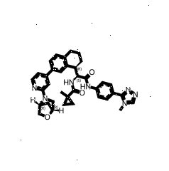 Cn1cnnc1-c1ccc(NC(=O)[C@@H](NC(=O)C2(C)CC2)[C@@H]2CCCc3ccc(-c4ccnc(N5C[C@H]6C[C@@H]5CO6)c4)cc32)cc1